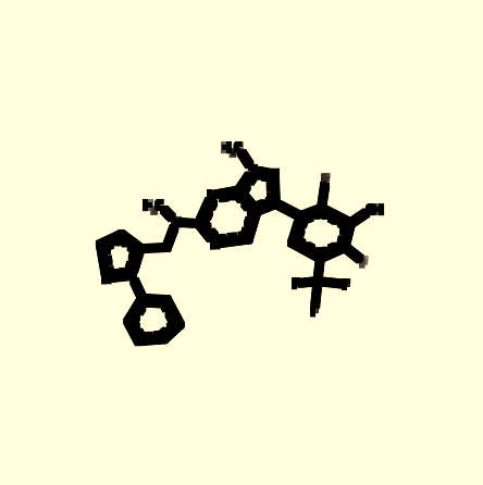 CN(Cc1ccnn1-c1ccccc1)c1ncc2c(-c3cc(C(F)(F)F)c(F)c(O)c3F)nn(C)c2n1